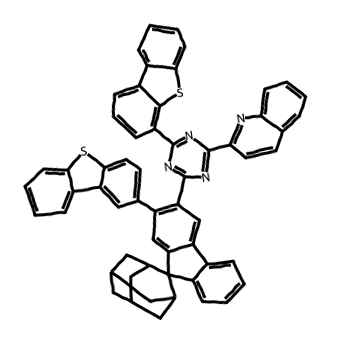 c1ccc2c(c1)-c1cc(-c3nc(-c4ccc5ccccc5n4)nc(-c4cccc5c4sc4ccccc45)n3)c(-c3ccc4sc5ccccc5c4c3)cc1C21C2CC3CC(C2)CC1C3